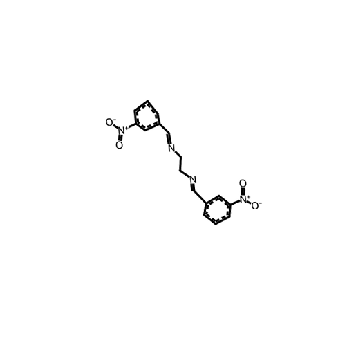 O=[N+]([O-])c1cccc(C=NCCN=Cc2cccc([N+](=O)[O-])c2)c1